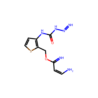 N=NNC(=O)Nc1ccsc1COC(=N)/C=C\N